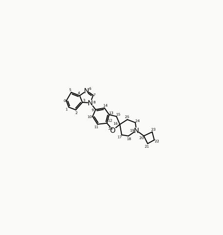 c1ccc2c(c1)ncn2-c1ccc2c(c1)CC1(CCN(C3CCC3)CC1)O2